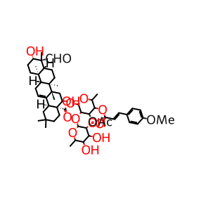 COc1ccc(/C=C/C(=O)OC2C(C)OC(OC(=O)[C@]34CCC(C)(C)C[C@H]3C3=CC[C@@H]5[C@@]6(C)CC[C@H](O)[C@@](C)(C=O)[C@@H]6CC[C@@]5(C)[C@]3(C)C[C@H]4O)C(OC3OC(C)C(O)C(O)C3O)C2OC(C)=O)cc1